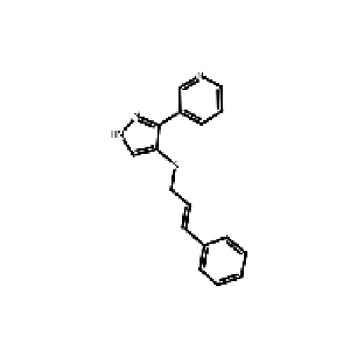 C(=C\c1ccccc1)/CSc1c[nH]nc1-c1cccnc1